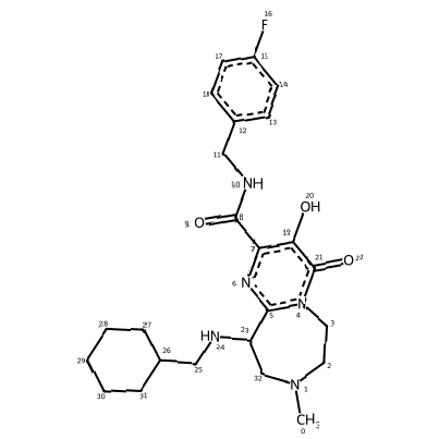 CN1CCn2c(nc(C(=O)NCc3ccc(F)cc3)c(O)c2=O)C(NCC2CCCCC2)C1